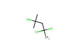 CC(C)(Cl)CC(Cl)(Cl)C(F)(F)F